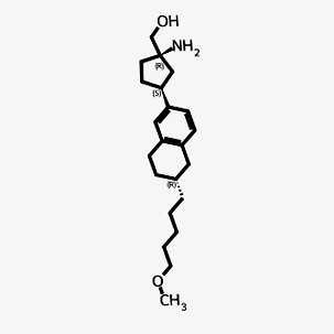 COCCCCC[C@@H]1CCc2cc([C@H]3CC[C@](N)(CO)C3)ccc2C1